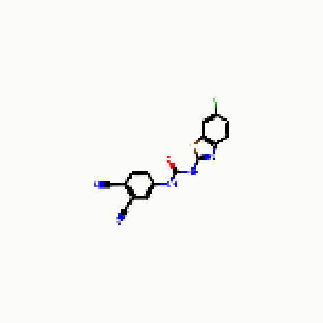 N#Cc1ccc(NC(=O)Nc2nc3ccc(F)cc3s2)cc1C#N